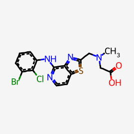 CN(CC(=O)O)Cc1nc2c(Nc3cccc(Br)c3Cl)nccc2s1